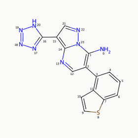 Nc1c(-c2cccc3sccc23)cnc2c(-c3nnn[nH]3)cnn12